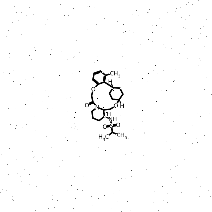 Cc1cccc2c1[C@H]1CC[C@H](CC1)OC[C@H]1[C@@H](NS(=O)(=O)C(C)C)CCCN1C(=O)CO2